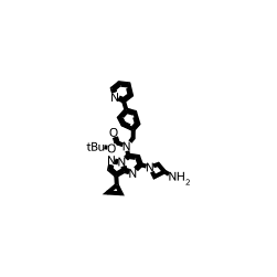 CC(C)(C)OC(=O)N(Cc1ccc(-c2ccccn2)cc1)c1cc(N2CC(N)C2)nc2c(C3CC3)cnn12